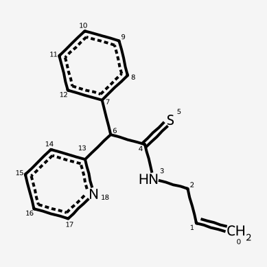 C=CCNC(=S)C(c1ccccc1)c1ccccn1